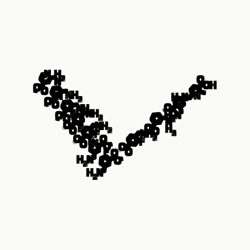 COC(=O)c1cc(CN)ccc1F.COC(=O)c1cc(CN)ccn1.COC(=O)c1ccc(CN)c(F)c1.COC(=O)c1ccc(CN)c(F)c1F.COC(=O)c1ccc(CN)cc1F.COC(=O)c1cccc(CN)c1.COC(=O)c1cccc(CN)c1F.COC(=O)c1cccc(CN)n1.COC(=O)c1ccccc1CN.COC(=O)c1ccnc(CN)c1.Cc1nc(CN)ccc1C(=O)O